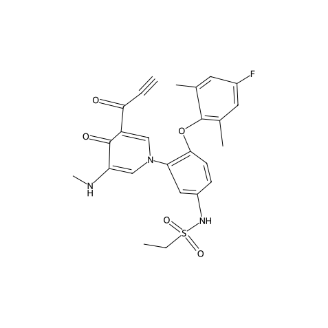 C#CC(=O)c1cn(-c2cc(NS(=O)(=O)CC)ccc2Oc2c(C)cc(F)cc2C)cc(NC)c1=O